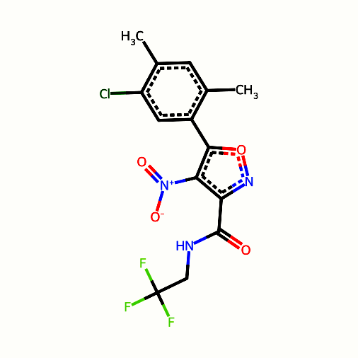 Cc1cc(C)c(-c2onc(C(=O)NCC(F)(F)F)c2[N+](=O)[O-])cc1Cl